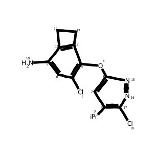 CC(C)c1cc(Oc2c(Cl)cc(N)c3c2CC3)nnc1Cl